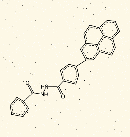 O=C(NNC(=O)c1ccc(-c2cc3ccc4cccc5ccc(c2)c3c45)cc1)c1ccccc1